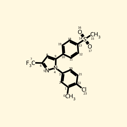 Cc1cc(-n2nc(C(F)(F)F)cc2-c2ccc(S(C)(=O)=O)cc2)ccc1Cl